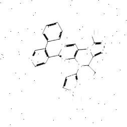 CCC1c2nnc(C)n2-c2cnc(-c3ccncc3-c3ccccc3)nc2N1c1ccn(C)n1